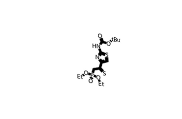 CCOP(=O)(CC(=S)c1csc(NC(=O)OC(C)(C)C)n1)OCC